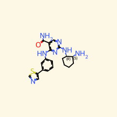 NC(=O)c1cnc(N[C@@H]2CCCC[C@@H]2N)nc1Nc1cccc(-c2cncs2)c1